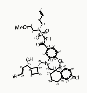 C=CCC[C@@H](CCOC)S(=O)(=O)NC(=O)c1ccc2c(c1)N(C[C@@H]1CC[C@H]1[C@@H](O)/C=C/CCC)C[C@@]1(CCCc3cc(Cl)ccc31)CO2